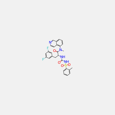 Cc1ccccc1S(=O)(=O)NC(=O)NC(Cc1cc(F)cc(F)c1)C(=O)N(C)c1cccc2cnccc12